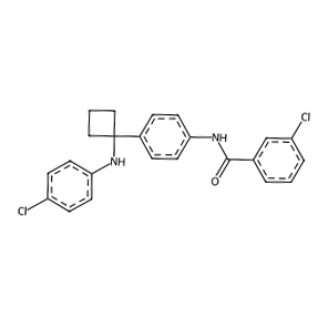 O=C(Nc1ccc(C2(Nc3ccc(Cl)cc3)CCC2)cc1)c1cccc(Cl)c1